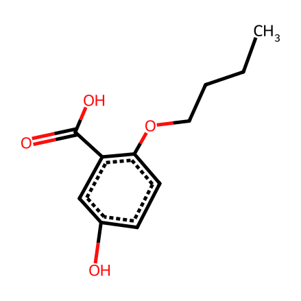 CCCCOc1ccc(O)cc1C(=O)O